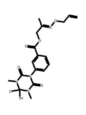 C=CCON=C(C)COC(=O)c1cccc(N2C(=O)N(C)C(S)(Cl)N(C)C2=O)c1